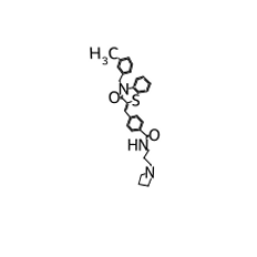 Cc1cccc(CN2C(=O)/C(=C/c3ccc(C(=O)NCCCN4CCCC4)cc3)Sc3ccccc32)c1